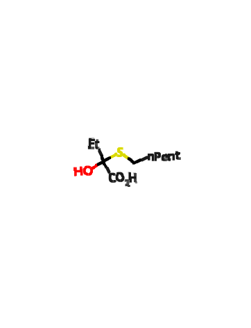 CCCCCCSC(O)(CC)C(=O)O